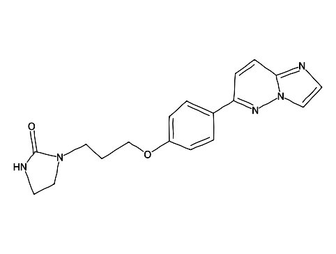 O=C1NCCN1CCCOc1ccc(-c2ccc3nccn3n2)cc1